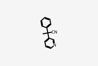 CC(C#N)(c1ccccc1)c1cccnc1